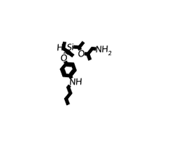 CCCCNc1ccc(OC(C)(CC)[SiH2]C(C)OC(C)CN)cc1